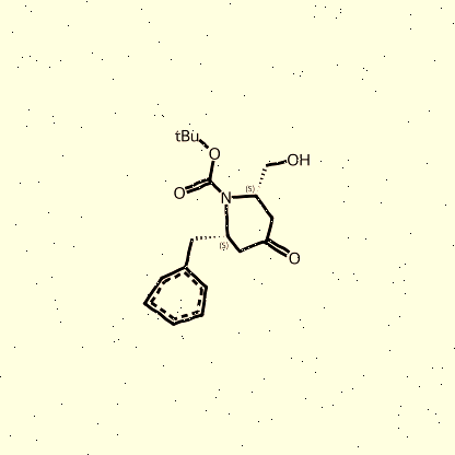 CC(C)(C)OC(=O)N1[C@H](CO)CC(=O)C[C@@H]1Cc1ccccc1